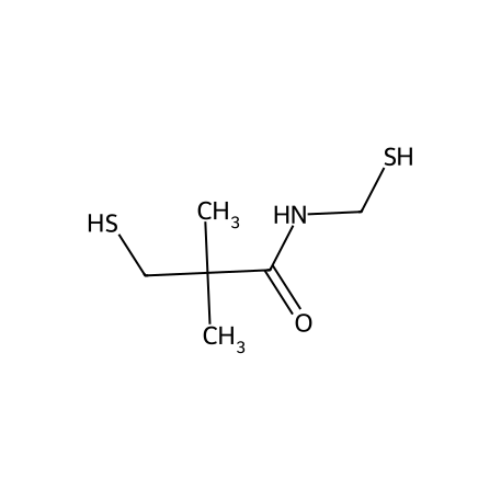 CC(C)(CS)C(=O)NCS